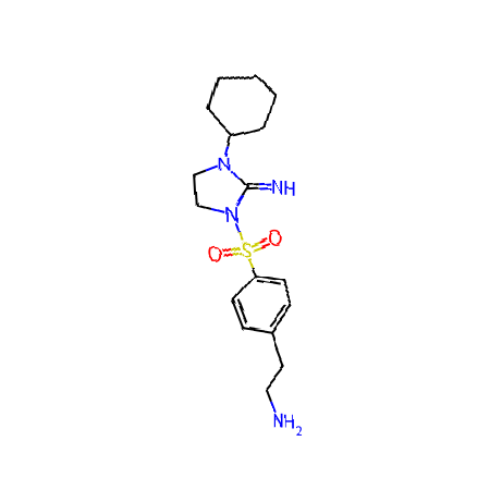 N=C1N(C2CCCCC2)CCN1S(=O)(=O)c1ccc(CCN)cc1